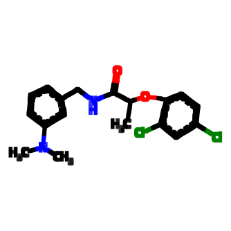 CC(Oc1ccc(Cl)cc1Cl)C(=O)NCc1cccc(N(C)C)c1